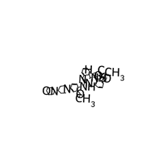 COc1cc(N2CCC(N3CCOCC3)CC2)ccc1Nc1nc(Nc2ccccc2S(=O)(=O)C(C)C)c2ccccc2n1